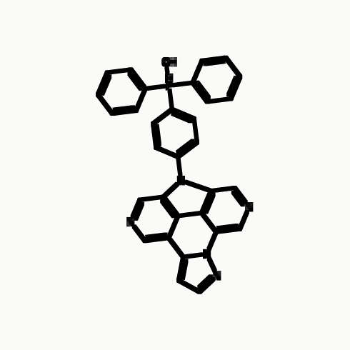 O[PH](c1ccccc1)(c1ccccc1)c1ccc(-n2c3cncc4c3c3c2cncc3n2nccc42)cc1